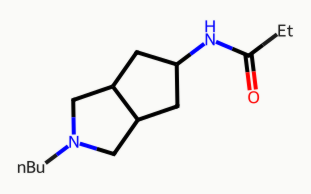 CCCCN1CC2CC(NC(=O)CC)CC2C1